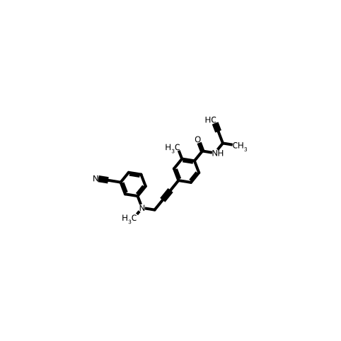 C#CC(C)NC(=O)c1ccc(C#CCN(C)c2cccc(C#N)c2)cc1C